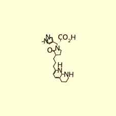 Cn1cc([C@H](CC(=O)O)N2CCC(CCCC3=CC=C4CCCNC4N3)C2=O)cn1